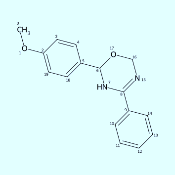 COc1ccc(C2NC(c3ccccc3)=NCO2)cc1